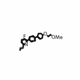 C/C=C/c1ccc(F)c(-c2ccc(C3=CCC(OCCOC)CC3)cc2)n1